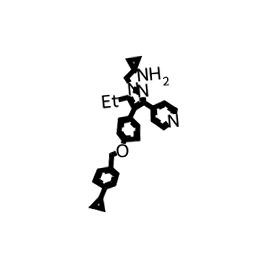 CCc1c(-c2ccc(OCc3ccc(C4CC4)cc3)cc2)c(-c2ccncc2)nn1CC1(N)CC1